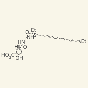 CCC=CCC=CCC=CCC=CCC=CCCCCSC(CC)C(=O)NCCNC(=O)Nc1ccc(O)c(C(=O)O)c1